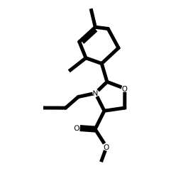 CCCN1C(C(=O)OC)COC1C1CCC(C)=CC1C